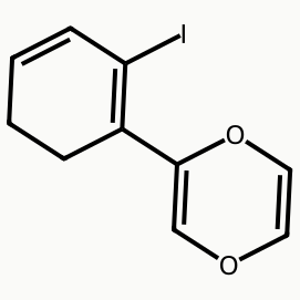 IC1=C(C2=COC=CO2)CCC=C1